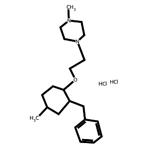 CC1CCC(OCCN2CCN(C)CC2)C(Cc2ccccc2)C1.Cl.Cl